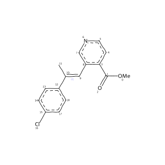 COC(=O)c1ccncc1/C=C(\C)c1ccc(Cl)cc1